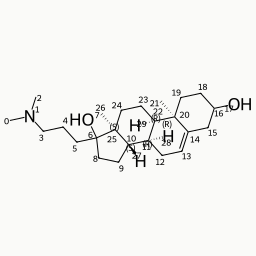 CN(C)CCCC1(O)CC[C@H]2[C@@H]3CC=C4CC(O)CC[C@]4(C)[C@@H]3CC[C@@]21C